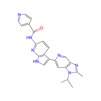 Cc1nc2cnc(-c3c[nH]c4nc(NC(=O)c5ccncc5)ccc34)cc2n1C(C)C